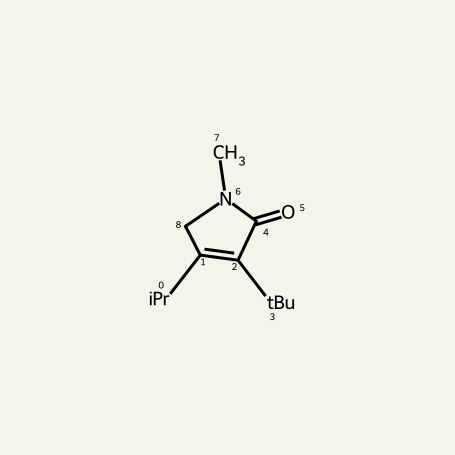 CC(C)C1=C(C(C)(C)C)C(=O)N(C)C1